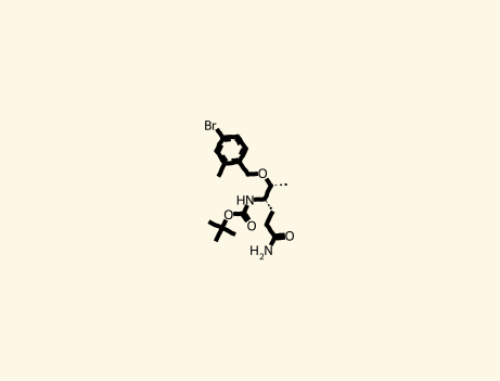 Cc1cc(Br)ccc1CO[C@H](C)[C@H](CCC(N)=O)NC(=O)OC(C)(C)C